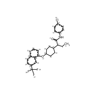 CCC(C(=O)Nc1ccc(Cl)cc1)C1CCC(Oc2ccnc3ccc(C(F)(F)F)cc23)CC1